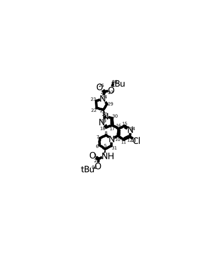 CC(C)(C)OC(=O)N[C@H]1CCCN(c2cc(Cl)ncc2-c2cnn([C@H]3CCN(C(=O)OC(C)(C)C)C3)c2)C1